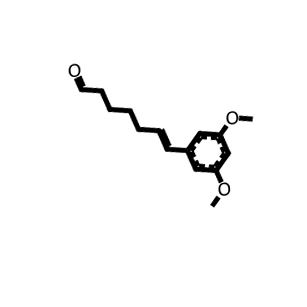 COc1cc(C=CCCCCC=O)cc(OC)c1